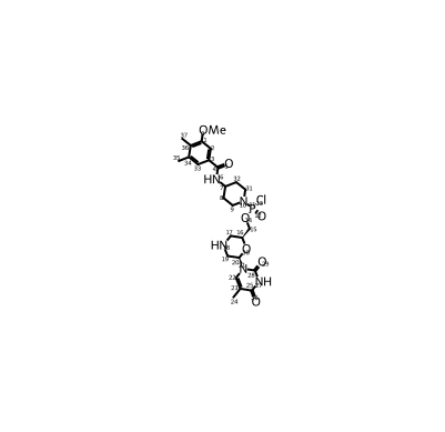 COc1cc(C(=O)NC2CCN(P(=O)(Cl)OC[C@@H]3CNC[C@H](n4cc(C)c(=O)[nH]c4=O)O3)CC2)cc(C)c1C